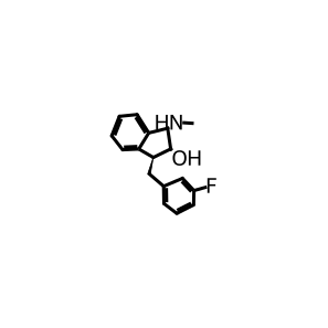 CN[C@H]1c2ccccc2[C@H](Cc2cccc(F)c2)C1O